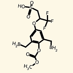 BCc1cc(OC(CS(=O)(=O)O)C(F)(F)F)cc(CB)c1OC(=O)OC